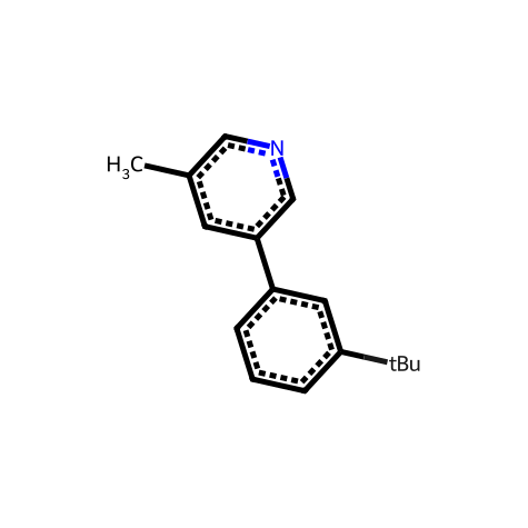 Cc1cncc(-c2cccc(C(C)(C)C)c2)c1